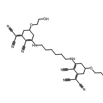 N#CC(C#N)=C1CC(OCCO)CC(NCCCCCCNC2=C(C#N)C(=C(C#N)C#N)CC(OCCO)C2)=C1C#N